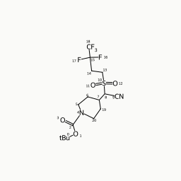 CC(C)(C)OC(=O)N1CCC(C(C#N)S(=O)(=O)CCC(F)(F)C(F)(F)F)CC1